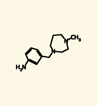 CN1CCCN(Cc2cccc(N)c2)CC1